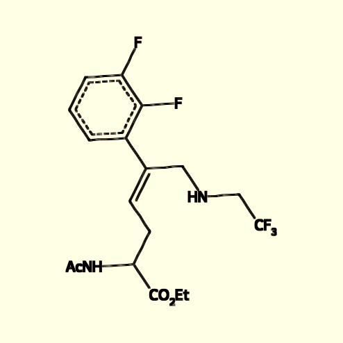 CCOC(=O)C(C/C=C(\CNCC(F)(F)F)c1cccc(F)c1F)NC(C)=O